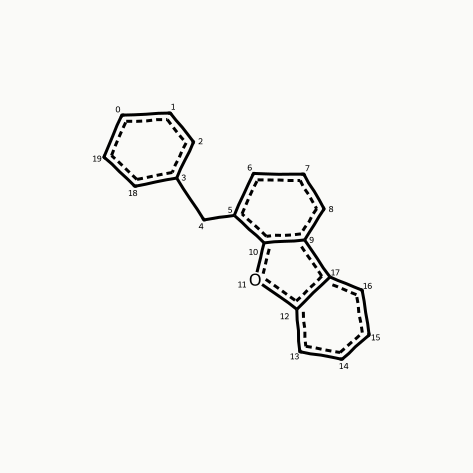 c1ccc(Cc2cccc3c2oc2ccccc23)cc1